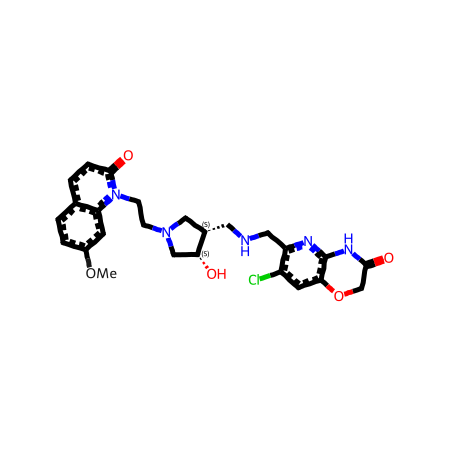 COc1ccc2ccc(=O)n(CCN3C[C@H](CNCc4nc5c(cc4Cl)OCC(=O)N5)[C@H](O)C3)c2c1